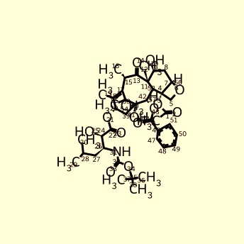 CC(=O)O[C@@]12CO[C@@H]1C[C@H](O)[C@@]1(C)C(=O)[C@H](C)C3=C(C)[C@@H](OC(=O)[C@H](O)[C@H](CC(C)C)NC(=O)OC(C)(C)C)C[C@@](O)([C@@H](OC(=O)c4ccccc4)[C@H]21)C3(C)C